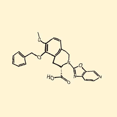 COc1ccc2c(c1OCc1ccccc1)C[C@@H](C(=O)O)N(c1nc3ccncc3o1)C2